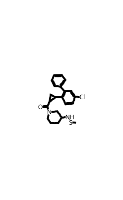 CSNC1CCCN(C(=O)C2CC2c2ccc(Cl)cc2-c2ccccc2)C1